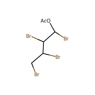 CC(=O)OC(Br)C(Br)C(Br)CBr